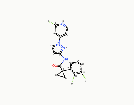 O=C(Nc1ccn(-c2ccnc(F)c2)n1)C1(c2cccc(F)c2F)CC1